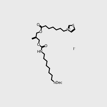 C=C(COC(=O)CCCCCC[n+]1ccsc1)COC(=O)NCCCCCCCCCCCCCCCCCC.[I-]